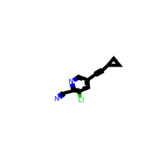 N#Cc1ncc(C#CC2CC2)cc1Cl